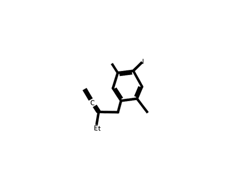 C=C=C(CC)Cc1cc(C)c(I)cc1C